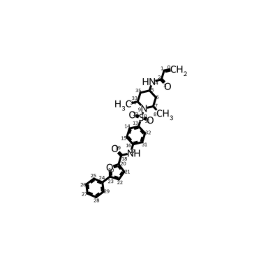 C=CC(=O)NC1CC(C)N(S(=O)(=O)c2ccc(NC(=O)c3ccc(-c4ccccc4)o3)cc2)C(C)C1